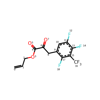 C=CCOC(=O)C(=O)Cc1cc(F)c(F)c(C(F)(F)F)c1F